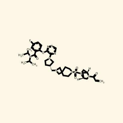 C=CC(=O)N1C[C@H]2C[C@@H]1CN2S(=O)(=O)N1CCC2(CC1)CN(C[C@@H]1CCN(c3ncnnc3Oc3ccc(F)cc3C(=O)N(C(C)C)C(C)C)C1)C2